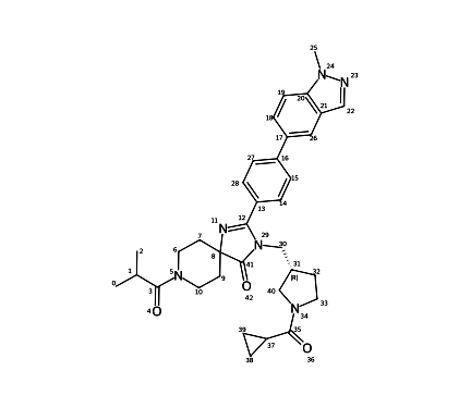 CC(C)C(=O)N1CCC2(CC1)N=C(c1ccc(-c3ccc4c(cnn4C)c3)cc1)N(C[C@@H]1CCN(C(=O)C3CC3)C1)C2=O